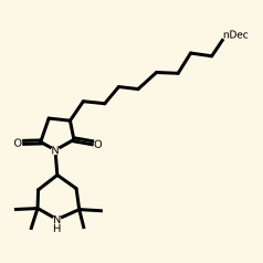 CCCCCCCCCCCCCCCCCCC1CC(=O)N(C2CC(C)(C)NC(C)(C)C2)C1=O